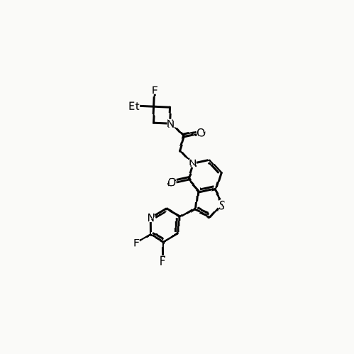 CCC1(F)CN(C(=O)Cn2ccc3scc(-c4cnc(F)c(F)c4)c3c2=O)C1